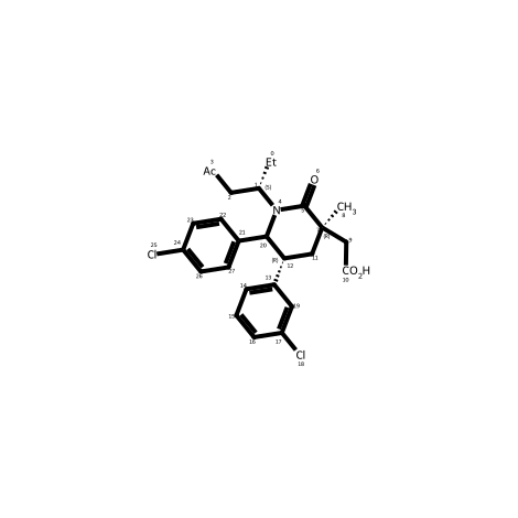 CC[C@@H](CC(C)=O)N1C(=O)[C@@](C)(CC(=O)O)C[C@H](c2cccc(Cl)c2)C1c1ccc(Cl)cc1